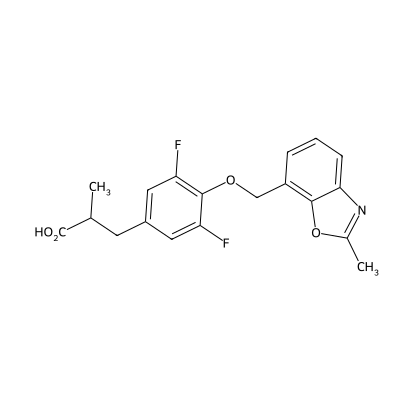 Cc1nc2cccc(COc3c(F)cc(CC(C)C(=O)O)cc3F)c2o1